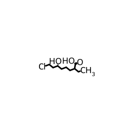 CCC(CCC[C@@H](O)CCCl)C(=O)O